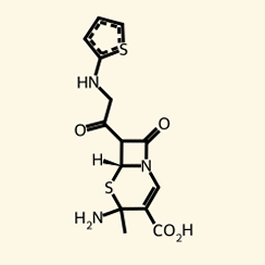 CC1(N)S[C@@H]2C(C(=O)CNc3cccs3)C(=O)N2C=C1C(=O)O